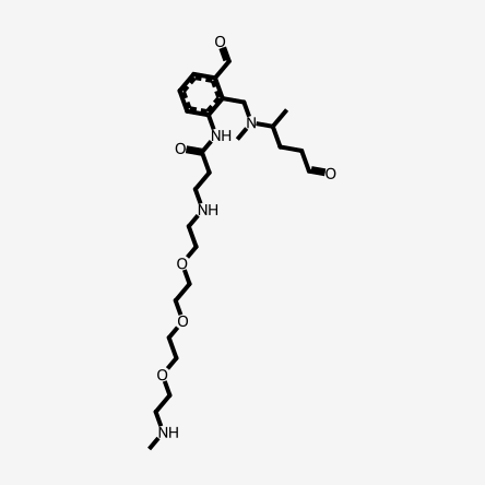 CNCCOCCOCCOCCNCCC(=O)Nc1cccc(C=O)c1CN(C)C(C)CCC=O